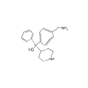 NCc1ccc(C(O)(c2ccccc2)C2CCNCC2)cc1